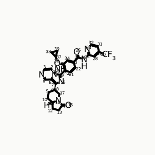 N[N+]12C=CN=CC1=C([C@@H]1CC[C@H]3CCC(=O)N3C1)N=C2c1ccc(C(=O)Nc2cc(C(F)(F)F)ccn2)cc1OC1CC1